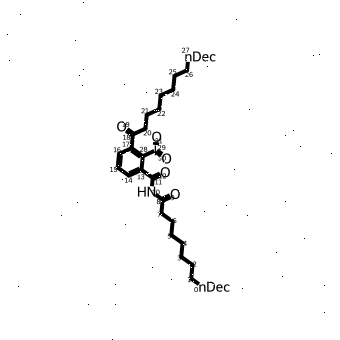 CCCCCCCCCCCCCCCCCC(=O)NC(=O)c1cccc(C(=O)CCCCCCCCCCCCCCCCC)c1I(=O)=O